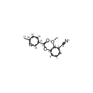 COc1c(C#N)cccc1OC(=O)c1ccc(C)nc1